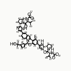 COC(=O)N[C@H](C(=O)N1CCC[C@H]1c1ncc(-c2cc(F)c3c(c2)OC(c2ccc(C(C)(C)O)s2)n2c-3cc3cc(-c4cnc([C@@H]5CCCN5C(=O)[C@@H](NC(=O)OC)C(C)C)[nH]4)ccc32)[nH]1)C(C)C